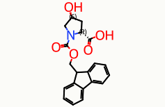 O=C(O)[C@H]1C[C@H](O)CN1C(=O)OCC1c2ccccc2-c2ccccc21